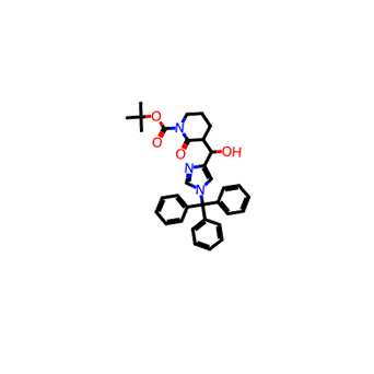 CC(C)(C)OC(=O)N1CCCC(C(O)c2cn(C(c3ccccc3)(c3ccccc3)c3ccccc3)cn2)C1=O